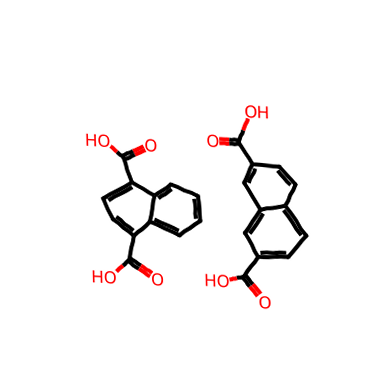 O=C(O)c1ccc(C(=O)O)c2ccccc12.O=C(O)c1ccc2ccc(C(=O)O)cc2c1